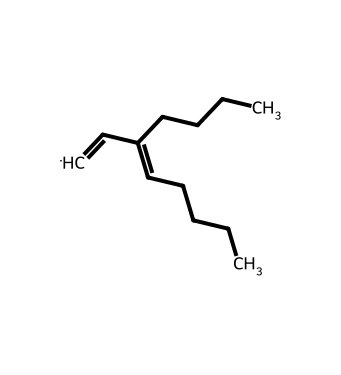 [CH]=CC(=CCCCC)CCCC